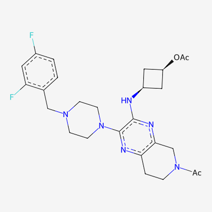 CC(=O)O[C@H]1C[C@@H](Nc2nc3c(nc2N2CCN(Cc4ccc(F)cc4F)CC2)CCN(C(C)=O)C3)C1